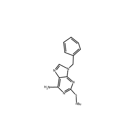 CCCCSc1nc(N)c2ncn(Cc3ccccc3)c2n1